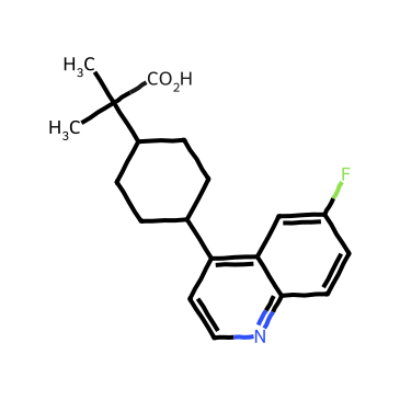 CC(C)(C(=O)O)C1CCC(c2ccnc3ccc(F)cc23)CC1